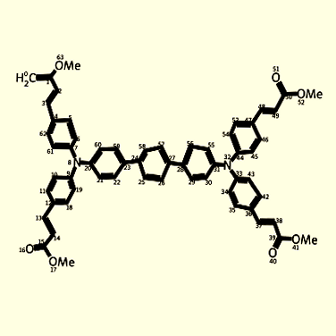 C=C(/C=C/c1ccc(N(c2ccc(/C=C/C(=O)OC)cc2)c2ccc(-c3ccc(-c4ccc(N(c5ccc(/C=C/C(=O)OC)cc5)c5ccc(/C=C/C(=O)OC)cc5)cc4)cc3)cc2)cc1)OC